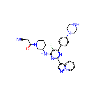 N#CCC(=O)N1CCC[C@@H](Nc2nc(-c3cnn4ccccc34)nc(-c3ccc(N4CCNCC4)cc3)c2F)C1